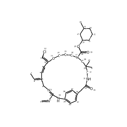 C=N/C1=N\CC(=C/C)/C=C\C(=C\Cl)OCCCN(C(=O)OC2CCCC(C)C2)CC(C)(C)CNC(=O)c2ccc(cc2)N1